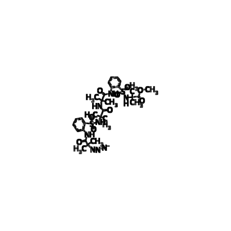 COC(=O)C(C)(C)NS(=O)(=O)c1ccccc1NC(=O)C(C)(C)NC(=O)C(C)(C)NS(=O)(=O)c1ccccc1NC(=O)C(C)(C)N=[N+]=[N-]